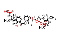 C[C@H]1C(OCCO[C@@H]2CCC3C4CC[C@@]5(C)C(CC[C@@H]5[C@H](C)CCC(=O)O)C4[C@@H](O)C[C@]3(C)C2)OC2O[C@@]3(C)CCC4[C@H](C)CCC1[C@@]24O3